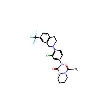 CC(=O)N1CCCC[C@@H]1C(=O)Nc1ccc(N2CCc3ccc(C(F)(F)F)cc3C2)c(Cl)c1